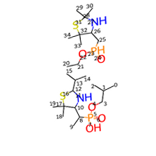 CC(C)COP(=O)(O)C(C)C1NC(C(C)C)SC1(C)C.CCO[PH](=O)CC1NC(C)(C)SC1(C)C